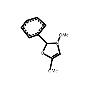 COC1=CN(OC)C(c2ccccc2)O1